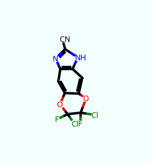 N#Cc1nc2cc3c(cc2[nH]1)OC(F)(Cl)C(F)(Cl)O3